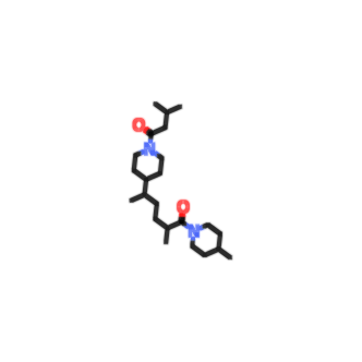 CC(C)CC(=O)N1CCC(C(C)CCC(C)C(=O)N2CCC(C)CC2)CC1